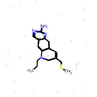 CCCN1CC(CSC)=CC2Cc3nc(N)ncc3CC21